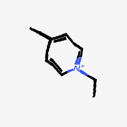 CC[n+]1ccc(C)cc1